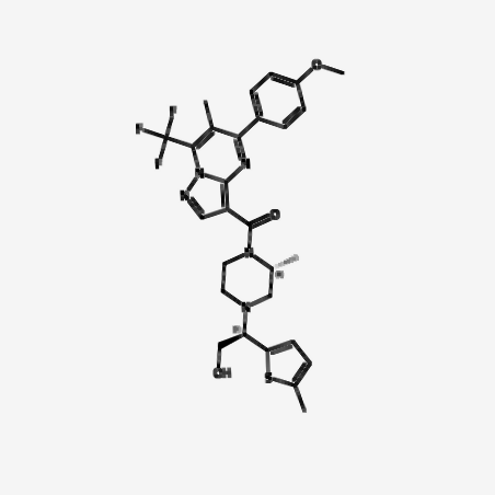 COc1ccc(-c2nc3c(C(=O)N4CCN([C@H](CO)c5ccc(C)s5)C[C@H]4C)cnn3c(C(F)(F)F)c2C)cc1